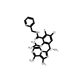 Cc1nc([C@@H](C)c2cc(Cl)c(F)c(C(=O)NCc3ccccn3)c2OC(C)C)n2ccnc(N)c12